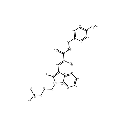 COc1ccc(CNC(=O)C(C#N)=Cc2c(C)n(CCCN(C)C)c3ccccc23)cc1